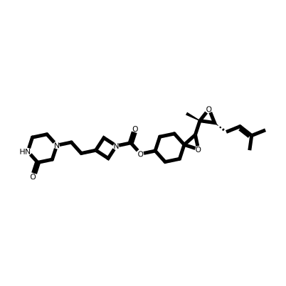 CC(C)=CC[C@H]1O[C@@]1(C)C1OC12CCC(OC(=O)N1CC(CCN3CCNC(=O)C3)C1)CC2